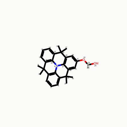 CC1(C)c2cccc3c2N2c4c1cccc4C(C)(C)c1cc(OBO)cc(c12)C3(C)C